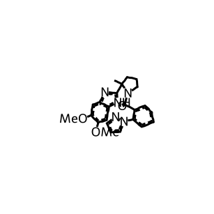 COc1cc2nc(C3(C)CCCN3C(=O)c3ccccc3-n3cccn3)[nH]c2cc1OC